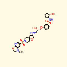 CN1CCOc2ncc(S(=O)(=O)N3CCC4(CC3)C[C@@H](NC[C@H](O)COc3cccc(S(=O)(=O)N[C@H]5CCC[C@@H]5O)c3)CO4)cc21